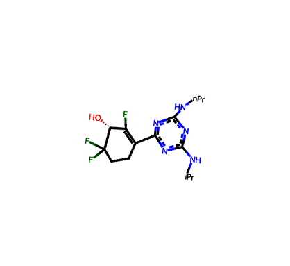 CCCNc1nc(NC(C)C)nc(C2=C(F)[C@@H](O)C(F)(F)CC2)n1